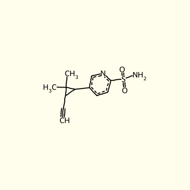 C#CC1C(c2ccc(S(N)(=O)=O)nc2)C1(C)C